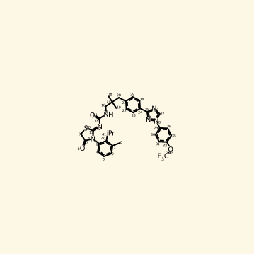 Cc1cccc(N2C(=O)CS/C2=N\C(=O)NCC(C)(C)Cc2ccc(-c3ncn(-c4ccc(OC(F)(F)F)cc4)n3)cc2)c1C(C)C